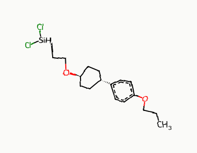 CCCOc1ccc([C@H]2CC[C@H](OCCC[SiH](Cl)Cl)CC2)cc1